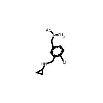 CC(=O)N(C)Cc1ccc(Cl)c(CNC2CC2)c1